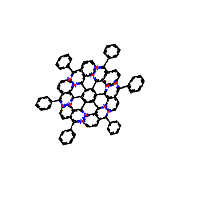 c1ccc(-c2nnc(-c3c(-c4nnc(-c5ccccc5)c5ccccc45)c(-c4nnc(-c5ccccc5)c5ccccc45)c(-c4nnc(-c5ccccc5)c5ccccc45)c(-c4nnc(-c5ccccc5)c5ccccc45)c3-c3nnc(-c4ccccc4)c4ccccc34)c3ccccc23)cc1